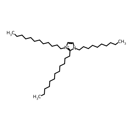 CCCCCCCCCCCCc1n(CCCCCCCCCC)cc[n+]1CCCCCCCCCCCC